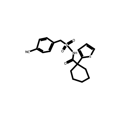 N#Cc1ccc(CS(=O)(=O)NC(=O)C2(c3cccs3)CCCCC2)cc1